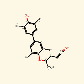 CC(C)c1cc(-c2cc(C(C)C)c(OC(CC=C=O)C(=O)O)c(C(C)C)c2)cc(C(C)C)c1O